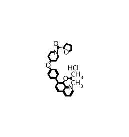 CC(C)Oc1c(-c2ccc(OC3CCN(C(=O)[C@H]4CCCO4)CC3)cc2)ccc2cccnc12.Cl